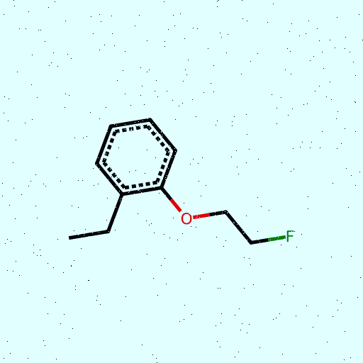 CCc1ccccc1OCCF